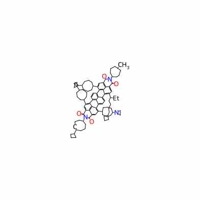 CCC(CCCCC1CCC1)c1cc2c3c(cc(C4CCCC(C5CC5)CCC4)c4c5ccc6c7c(C8CCCC(C9CC9)CCC8)cc8c9c(cc(C%10CCCC(N%11CC%11)CCC%10)c(c%10ccc(c1c34)c5c6%10)c97)C(=O)N(C1CCCC(C3CCC3)CCC1)C8=O)C(=O)N(C1CCCC(C)CCC1)C2=O